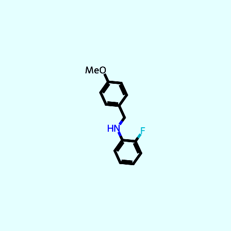 COc1ccc(CNc2ccccc2F)cc1